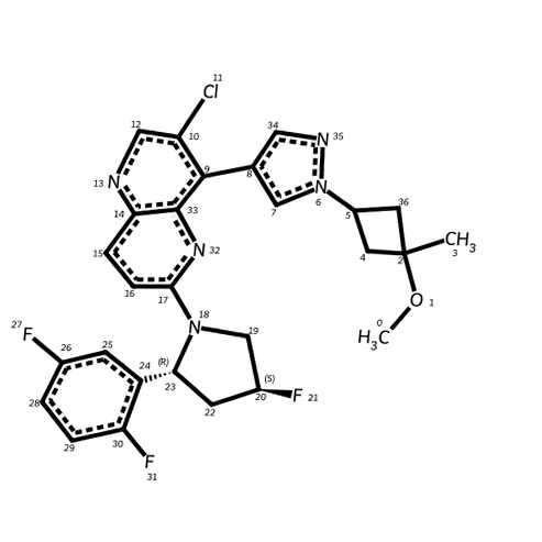 COC1(C)CC(n2cc(-c3c(Cl)cnc4ccc(N5C[C@@H](F)C[C@@H]5c5cc(F)ccc5F)nc34)cn2)C1